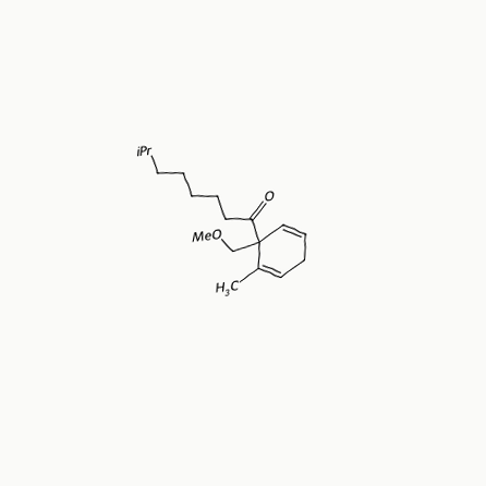 COCC1(C(=O)CCCCCC(C)C)C=CCC=C1C